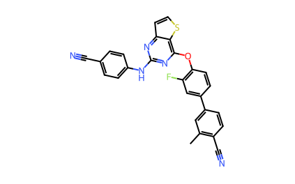 Cc1cc(-c2ccc(Oc3nc(Nc4ccc(C#N)cc4)nc4ccsc34)c(F)c2)ccc1C#N